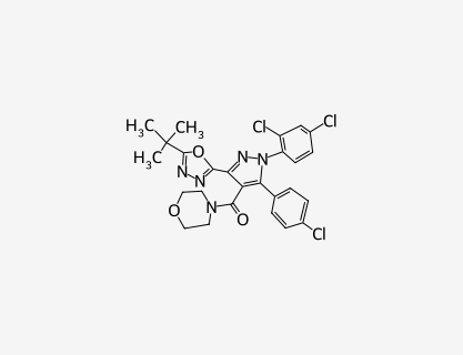 CC(C)(C)c1nnc(-c2nn(-c3ccc(Cl)cc3Cl)c(-c3ccc(Cl)cc3)c2C(=O)N2CCOCC2)o1